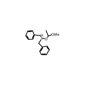 COC(C)O[SiH](Cc1ccccc1)Cc1ccccc1